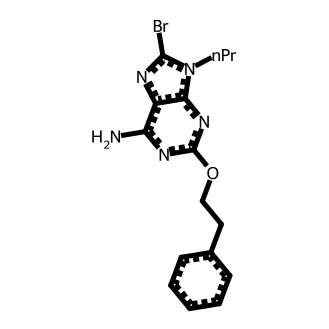 CCCn1c(Br)nc2c(N)nc(OCCc3ccccc3)nc21